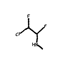 CNC(F)C(F)Cl